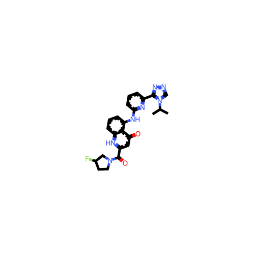 CC(C)n1cnnc1-c1cccc(Nc2cccc3[nH]c(C(=O)N4CCC(F)C4)cc(=O)c23)n1